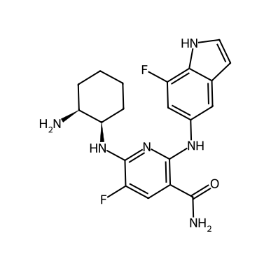 NC(=O)c1cc(F)c(N[C@@H]2CCCC[C@@H]2N)nc1Nc1cc(F)c2[nH]ccc2c1